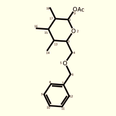 CC(=O)OC1OC(COCc2ccccc2)C(C)C(C)C1C